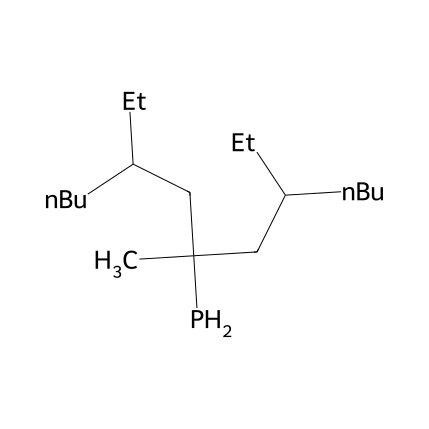 CCCCC(CC)CC(C)(P)CC(CC)CCCC